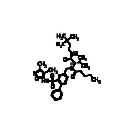 CCCCC(=O)N(Cc1ccc(-c2ccccc2)c(S(=O)(=O)Nc2onc(C)c2C)c1)[C@H](C(=O)NCCC(C)(C)C)C(C)C